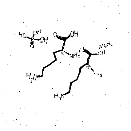 NCCCC[C@H](N)C(=O)O.NCCCC[C@H](N)C(=O)O.O=P(O)(O)O.[MgH2]